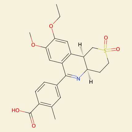 CCOc1cc2c(cc1OC)C(c1ccc(C(=O)O)c(C)c1)=N[C@@H]1CCS(=O)(=O)C[C@H]21